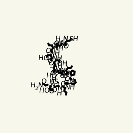 CC[C@H](C)[C@H](NC(=O)CNC(=O)[C@@H](N)CS)C(=O)N[C@H](C(=O)N[C@H](C(=O)N[C@@H](C)C(=O)N[C@@H](CO)C(=O)N[C@H](C(=O)N1CCC[C@H]1C(=O)N1CCC[C@H]1C(=O)N[C@H](C(=O)N[C@@H](CS)C(=O)N[C@@H](CCC(N)=O)C(=O)O)[C@@H](C)CC)[C@@H](C)CC)[C@@H](C)O)[C@@H](C)O